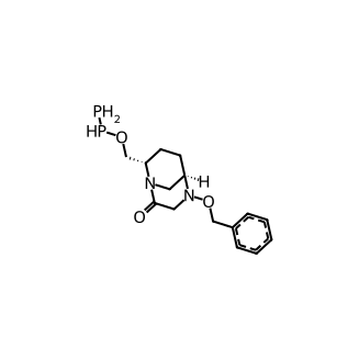 O=C1CN(OCc2ccccc2)[C@@H]2CC[C@@H](COPP)N1C2